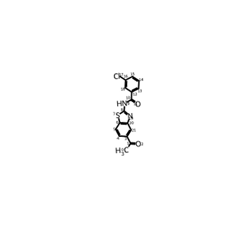 CC(=O)c1ccc2sc(NC(=O)c3cccc(Cl)c3)nc2c1